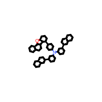 c1cc(-c2ccc3ccccc3c2)cc(N(c2ccc(-c3cccc4oc5c6ccccc6ccc5c34)cc2)c2cccc(-c3ccc4ccccc4c3)c2)c1